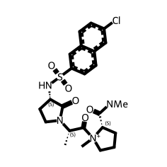 CNC(=O)[C@@H]1CCC[N+]1(C)C(=O)[C@H](C)N1CC[C@H](NS(=O)(=O)c2ccc3cc(Cl)ccc3c2)C1=O